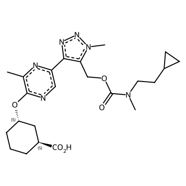 Cc1nc(-c2nnn(C)c2COC(=O)N(C)CCC2CC2)cnc1O[C@H]1CCC[C@H](C(=O)O)C1